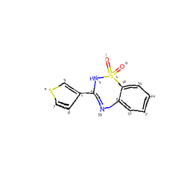 O=S1(=O)NC(c2ccsc2)=Nc2ccccc21